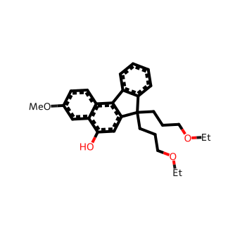 CCOCCCC1(CCCOCC)c2ccccc2-c2c1cc(O)c1cc(OC)ccc21